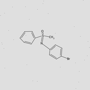 CS(=O)(=Nc1ccc(Br)cc1)c1ccccc1